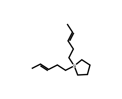 C/C=C/CC[Si]1(CC/C=C/C)CCCC1